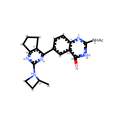 CC(=O)Nc1nc2ccc(-c3nc(N4CCC4C)nc4c3CCC4)cc2c(=O)[nH]1